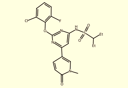 CCC(CC)S(=O)(=O)Nc1cc(-c2ccc(=O)n(C)c2)nc(Oc2c(F)cccc2Cl)n1